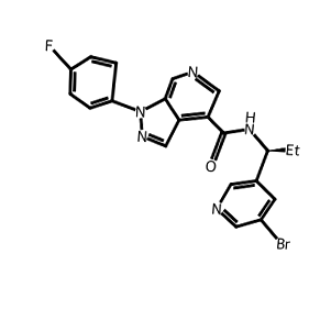 CC[C@H](NC(=O)c1cncc2c1cnn2-c1ccc(F)cc1)c1cncc(Br)c1